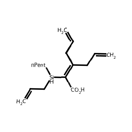 C=CCC(CC=C)=C(C(=O)O)[SiH](CC=C)CCCCC